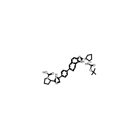 CC(C)(C)OC(=O)N[C@H]1CCC[C@H]1c1nc2ccc3cc(-c4ccc(-c5cnc(C6CCCN6C(=O)O)[nH]5)cc4)ccc3c2[nH]1